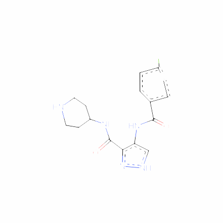 O=C(Nc1c[nH]nc1C(=O)NC1CCNCC1)c1ccc(F)cc1